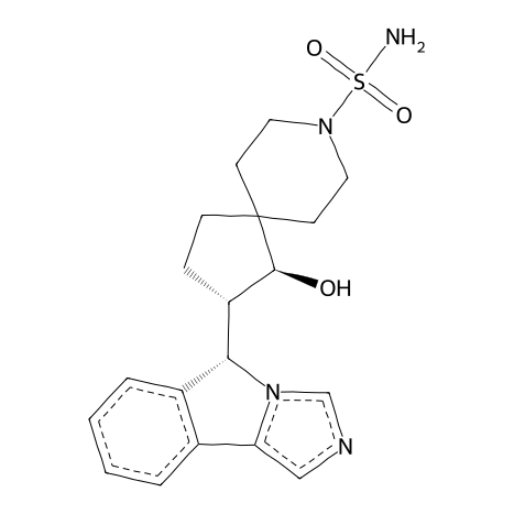 NS(=O)(=O)N1CCC2(CC[C@@H]([C@H]3c4ccccc4-c4cncn43)[C@@H]2O)CC1